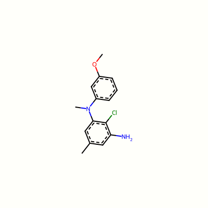 COc1cccc(N(C)c2cc(C)cc(N)c2Cl)c1